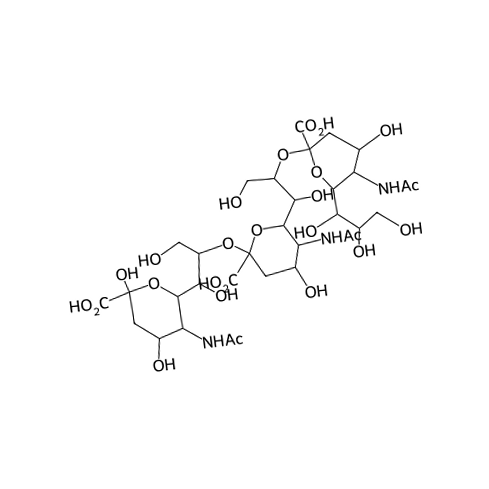 CC(=O)NC1C(O)CC(OC(CO)C(O)C2OC(OC(CO)C(O)C3OC(O)(C(=O)O)CC(O)C3NC(C)=O)(C(=O)O)CC(O)C2NC(C)=O)(C(=O)O)OC1C(O)C(O)CO